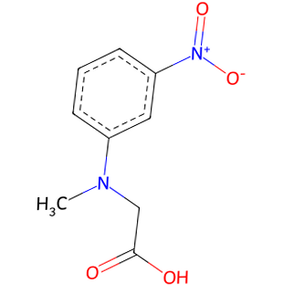 CN(CC(=O)O)c1cccc([N+](=O)[O-])c1